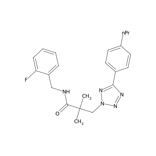 CCCc1ccc(-c2nnn(CC(C)(C)C(=O)NCc3ccccc3F)n2)cc1